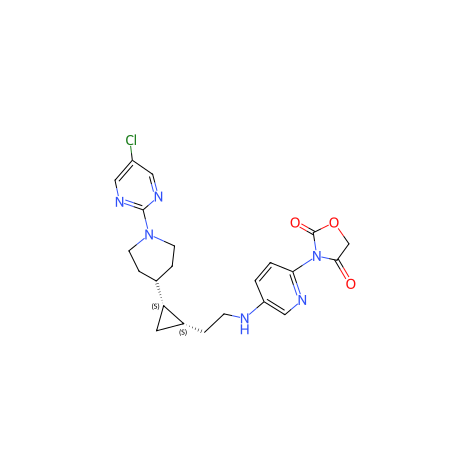 O=C1COC(=O)N1c1ccc(NCC[C@@H]2C[C@@H]2C2CCN(c3ncc(Cl)cn3)CC2)cn1